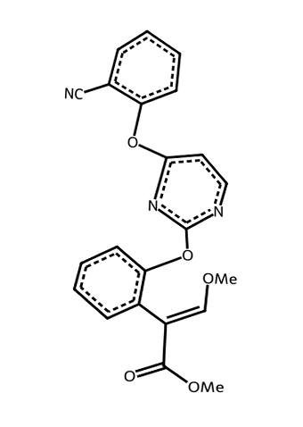 CO/C=C(/C(=O)OC)c1ccccc1Oc1nccc(Oc2ccccc2C#N)n1